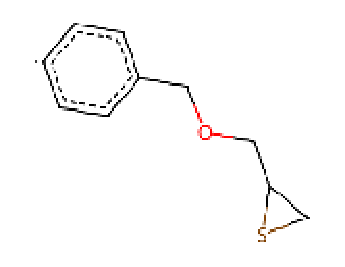 [c]1ccc(COCC2CS2)cc1